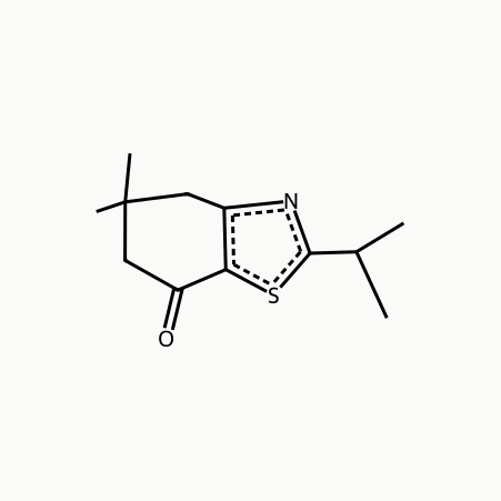 CC(C)c1nc2c(s1)C(=O)CC(C)(C)C2